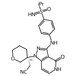 CC(C)S(=N)(=O)c1ccc(Nc2nn([C@]3(CC#N)CCCOC3)c3cc[nH]c(=O)c23)cc1